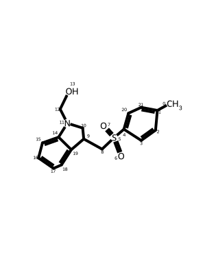 Cc1ccc(S(=O)(=O)CC2CN(CO)c3ccccc32)cc1